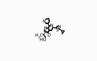 CC(CO)n1cnc2c(-c3cccnc3)nc(-c3cnc(C4CC4)s3)cc2c1=O